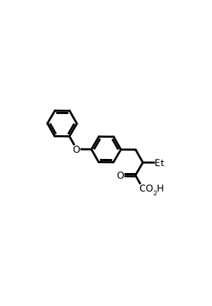 CCC(Cc1ccc(Oc2ccccc2)cc1)C(=O)C(=O)O